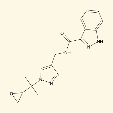 CC(C)(C1CO1)n1cc(CNC(=O)c2n[nH]c3ccccc23)nn1